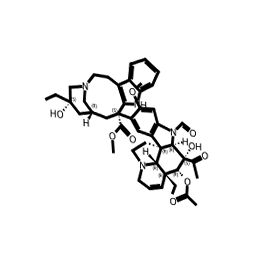 CC[C@]1(O)C[C@@H]2CN(CCc3c([nH]c4ccccc34)[C@@](C(=O)OC)(c3cc4c(cc3OC)N(C=O)[C@H]3[C@@](O)(C(C)=O)[C@H](OC(C)=O)[C@]5(CC)C=CCN6CC[C@]43[C@@H]65)C2)C1